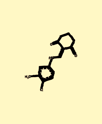 Cc1cc(NC=C2C(=O)CCCC2=O)ccc1Cl